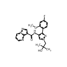 COc1cc(F)ccc1-c1nn(CC(C)(C)O)cc1NC(=O)c1cnn2cccnc12